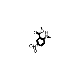 CNc1ccc([N+](=O)[O-])cc1C(=O)OC